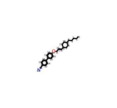 CCCCCC1CCC(/C=C/COc2ccc(-c3ccc(C#N)cc3)cc2)CC1